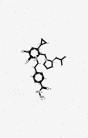 CC(C)C[C@H]1CCCN1Cc1c(C2CC2)cc(Cl)c(=O)n1CCc1ccc(C(=O)NN)cc1